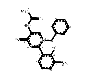 COC(=O)Nc1cn(Cc2ccccc2)c(-c2cccc(C(F)(F)F)c2Cl)nc1=O